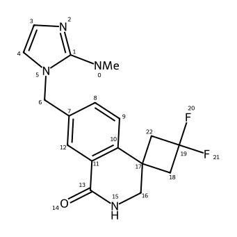 CNc1nccn1Cc1ccc2c(c1)C(=O)NCC21CC(F)(F)C1